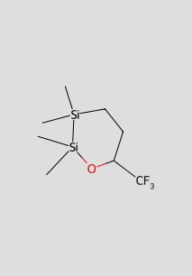 C[Si]1(C)CCC(C(F)(F)F)O[Si]1(C)C